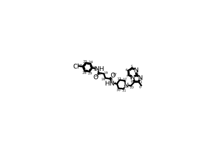 Cc1nc2ncccn2c1CN1CCC(NC(=O)CCC(=O)Nc2ccc(Cl)cc2)CC1